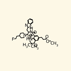 CCOC(=O)CCc1cc2c(c(S(=O)(=O)NC(Cc3nc4ccccc4s3)C(=O)N3CCC(CCF)CC3)c1)NCC(C)(C)C2=O